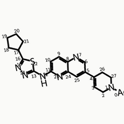 CC(=O)N1CC=C(c2cnc3ccc(Nc4nnc(C5CCCC5)s4)nc3c2)CC1